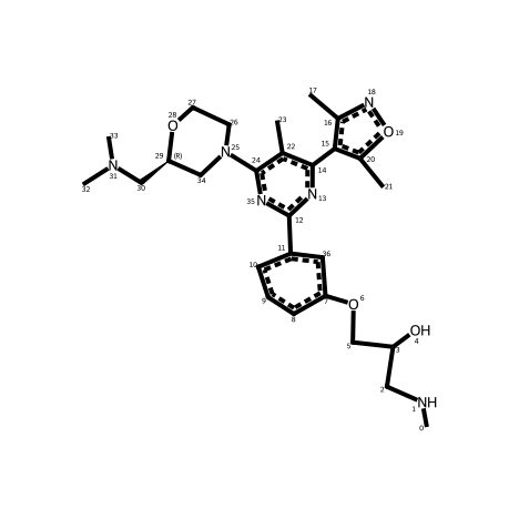 CNCC(O)COc1cccc(-c2nc(-c3c(C)noc3C)c(C)c(N3CCO[C@H](CN(C)C)C3)n2)c1